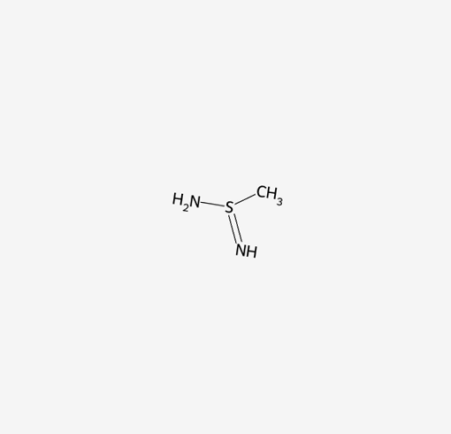 CS(=N)N